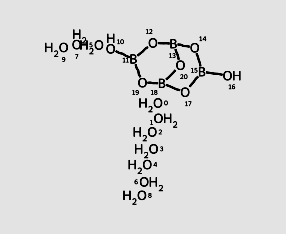 O.O.O.O.O.O.O.O.O.O.OB1OB2OB(O)OB(O1)O2